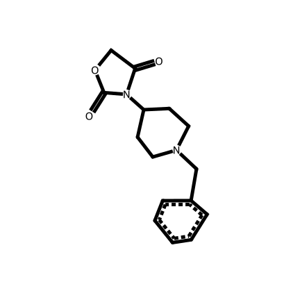 O=C1COC(=O)N1C1CCN(Cc2ccccc2)CC1